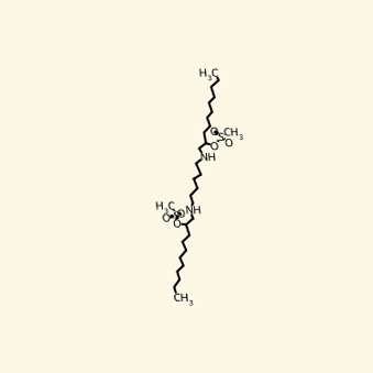 CCCCCCCCCC(CNCCCCCCNCC(CCCCCCCCC)OS(C)(=O)=O)OS(C)(=O)=O